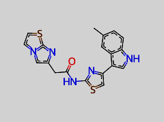 Cc1ccc2[nH]cc(-c3csc(NC(=O)Cc4cn5ccsc5n4)n3)c2c1